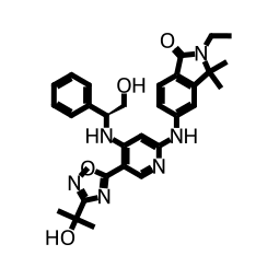 CCN1C(=O)c2ccc(Nc3cc(N[C@H](CO)c4ccccc4)c(-c4nc(C(C)(C)O)no4)cn3)cc2C1(C)C